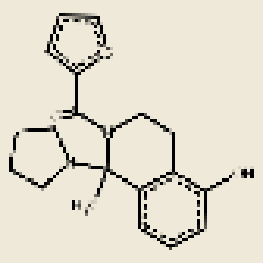 CC1(N2CCCC2)c2cccc(O)c2CCN1C(=O)c1cccs1